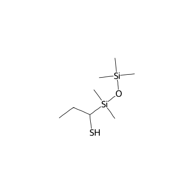 CCC(S)[Si](C)(C)O[Si](C)(C)C